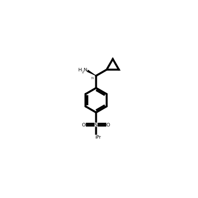 CC(C)S(=O)(=O)c1ccc([C@@H](N)C2CC2)cc1